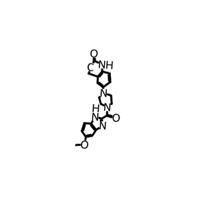 COc1ccc2[nH]c(C(=O)N3CCN(c4ccc5c(c4)CCC(=O)N5)CC3)nc2c1